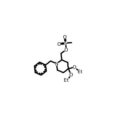 CCOC1(OCC)CCN(Cc2ccccc2)C(COS(C)(=O)=O)C1